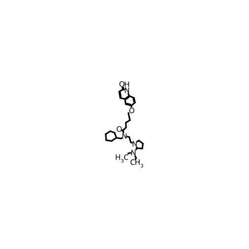 CCN(CC)C1CCCN1CCN(CC1CCCCC1)C(=O)CCCCOc1ccc2[nH]c(=O)ccc2c1